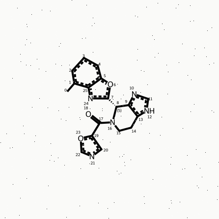 Cc1cccc2oc([C@@H]3c4nc[nH]c4CCN3C(=O)c3cnco3)nc12